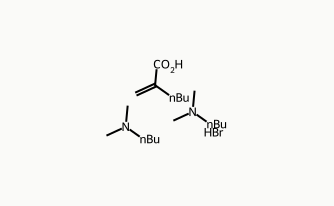 Br.C=C(CCCC)C(=O)O.CCCCN(C)C.CCCCN(C)C